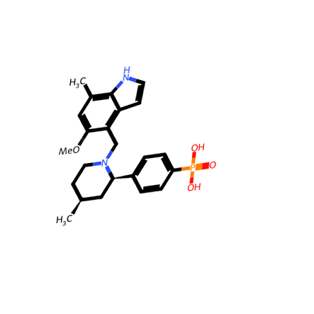 COc1cc(C)c2[nH]ccc2c1CN1CC[C@H](C)C[C@@H]1c1ccc(P(=O)(O)O)cc1